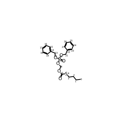 CCCCSC(=O)OCOP(=O)(OCc1ccccc1)OCc1ccccc1